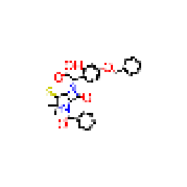 CC1(C)C(=S)C2C(C(=O)N2C(C(=O)O)c2ccc(OCc3ccccc3)cc2)N1C(=O)c1ccccc1